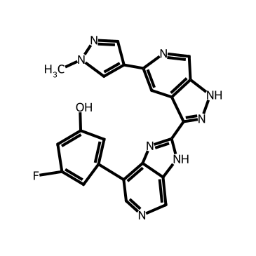 Cn1cc(-c2cc3c(-c4nc5c(-c6cc(O)cc(F)c6)cncc5[nH]4)n[nH]c3cn2)cn1